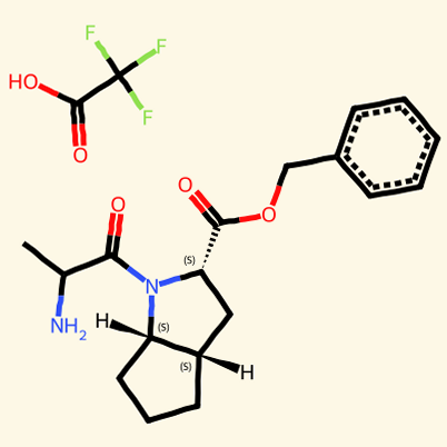 CC(N)C(=O)N1[C@H](C(=O)OCc2ccccc2)C[C@@H]2CCC[C@@H]21.O=C(O)C(F)(F)F